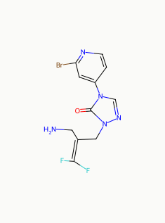 NCC(Cn1ncn(-c2ccnc(Br)c2)c1=O)=C(F)F